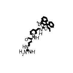 C/C=C(\OC(=O)NCC1CCCN(N[C@H](C=O)CCCNC(=N)N)C1)C(CC(C)N(C)C)(c1ccccc1)c1ccccc1